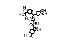 CC1(C)CCc2c(C(=O)Nc3cnn(C(c4cccc(C(C)(C)O)c4)C4CCS(O)(O)CC4)c3)n[nH]c2C1